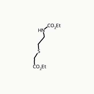 CCOC(=O)CSCCNC(=O)OCC